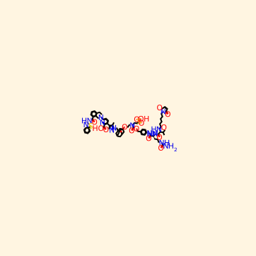 Cc1c(-c2ccc(N3CCc4cccc(C(=O)Nc5nc6ccccc6s5)c4C3)nc2C(=O)O)cnn1CC12CC3CC(C1)CC(OCCN(CCS(=O)(=O)O)C(=O)OCc1ccc(NC(=O)[C@H](CCCNC(N)=O)NC(=O)[C@@H](NC(=O)CCCCCN4C(=O)C=CC4=O)C(C)C)cc1)(C3)C2